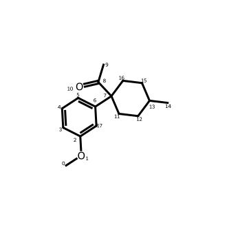 COc1cccc(C2(C(C)=O)CCC(C)CC2)c1